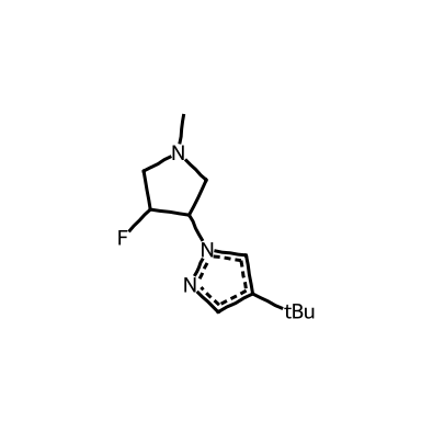 CN1CC(F)C(n2cc(C(C)(C)C)cn2)C1